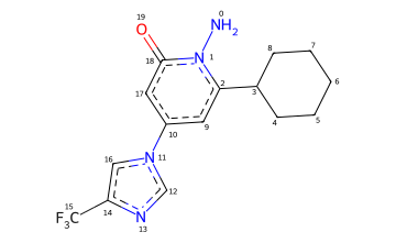 Nn1c(C2CCCCC2)cc(-n2cnc(C(F)(F)F)c2)cc1=O